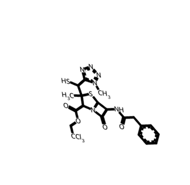 Cn1nnnc1C(S)C1(C)SC2C(NC(=O)Cc3ccccc3)C(=O)N2C1C(=O)OCC(Cl)(Cl)Cl